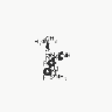 CN(C)CCCOc1nc(N2CC3CC2CN3)c2cc(Cl)c(-c3ccc(F)c4sc(N)nc34)c(F)c2n1